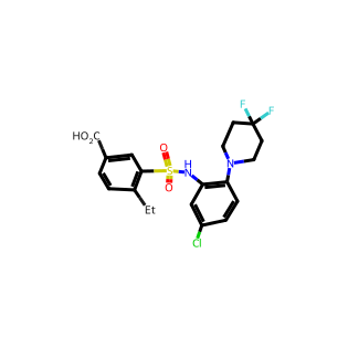 CCc1ccc(C(=O)O)cc1S(=O)(=O)Nc1cc(Cl)ccc1N1CCC(F)(F)CC1